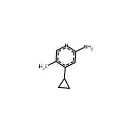 Cc1cnc(N)cc1C1CC1